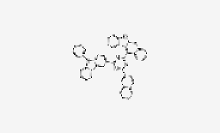 c1ccc(-n2c3ccccc3c3cc(-c4nc(-c5ccc6ccccc6c5)nc(-c5c6ccccc6cc6oc7ccccc7c56)n4)ccc32)cc1